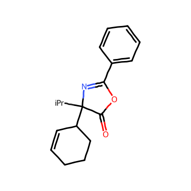 CC(C)C1(C2C=CCCC2)N=C(c2ccccc2)OC1=O